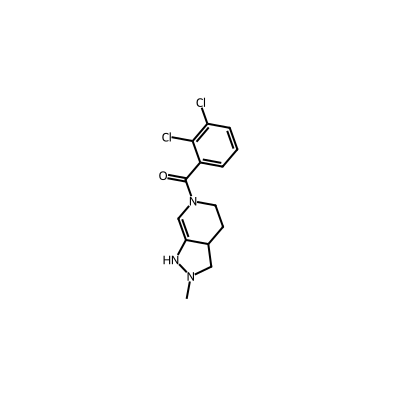 CN1CC2CCN(C(=O)c3cccc(Cl)c3Cl)C=C2N1